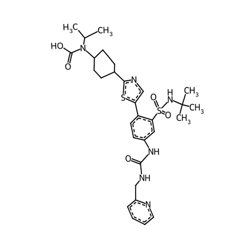 CC(C)N(C(=O)O)C1CCC(c2ncc(-c3ccc(NC(=O)NCc4ccccn4)cc3S(=O)(=O)NC(C)(C)C)s2)CC1